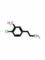 CC[CH]c1ccc(Cl)c(C)c1